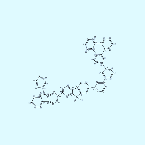 CC1(C)c2cc(-c3cccc(-c4cccc(-c5ccc6c(c5)c5ccccc5c5nccnc65)c4)c3)ccc2-c2ccc(-c3ccc4c5ccccc5n(-c5ccccc5)c4c3)cc21